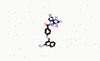 CC(=O)N1C[C@@H](NC(=O)c2ccc(OCc3cc(C)nc4ccccc34)cc2)[C@]2(C1)NC(=O)NC2=O